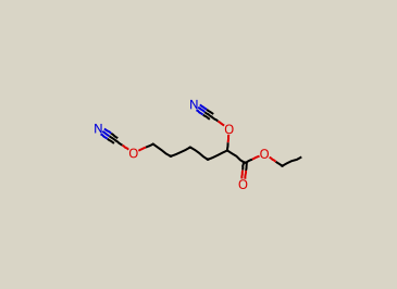 CCOC(=O)C(CCCCOC#N)OC#N